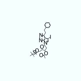 CC(=O)OC1CC(n2cc(I)c3c(CCc4ccccc4)ncnc32)OC1CO[Si](C)(C)C(C)(C)C